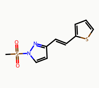 CS(=O)(=O)n1ccc(C=Cc2cccs2)n1